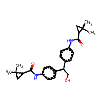 CC1(C)CC1C(=O)Nc1ccc(C(CO)c2ccc(NC(=O)C3CC3(C)C)cc2)cc1